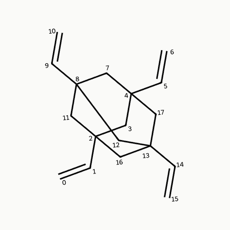 C=CC12CC3(C=C)CC(C=C)(C1)CC(C=C)(C2)C3